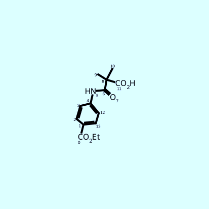 CCOC(=O)c1ccc(NC(=O)C(C)(C)C(=O)O)cc1